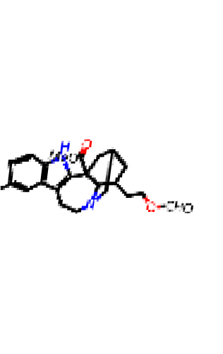 COC(=O)C12CC3CC(CCOC=O)C1N(CCc1c2[nH]c2ccc(OC(C)=O)cc12)C3